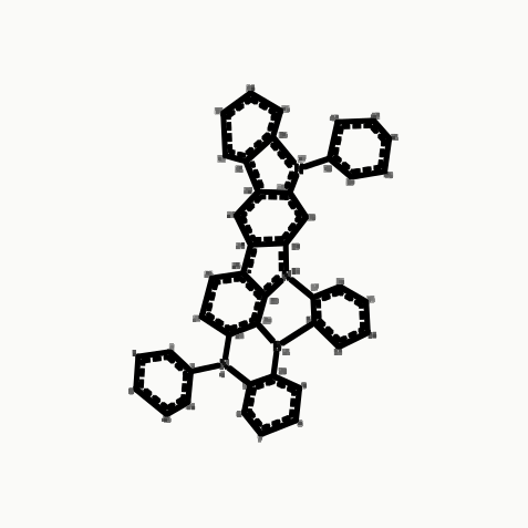 c1ccc(N2c3ccccc3B3c4ccccc4-n4c5cc6c(cc5c5ccc2c3c54)c2ccccc2n6-c2ccccc2)cc1